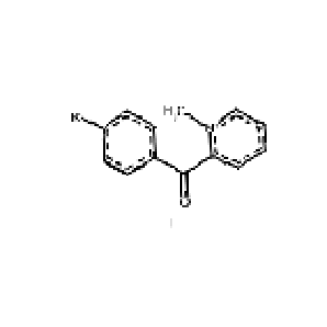 C[n+]1ccccc1C(=O)c1ccc(Br)cc1.[I-]